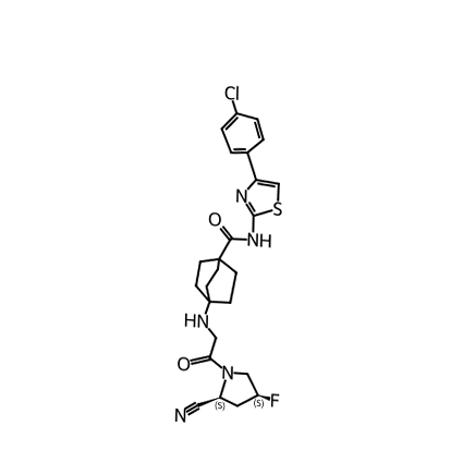 N#C[C@@H]1C[C@H](F)CN1C(=O)CNC12CCC(C(=O)Nc3nc(-c4ccc(Cl)cc4)cs3)(CC1)CC2